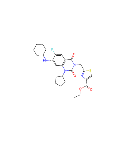 CCOC(=O)c1csc(Cn2c(=O)c3cc(F)c(NC4CCCCC4)cc3n(C3CCCC3)c2=O)n1